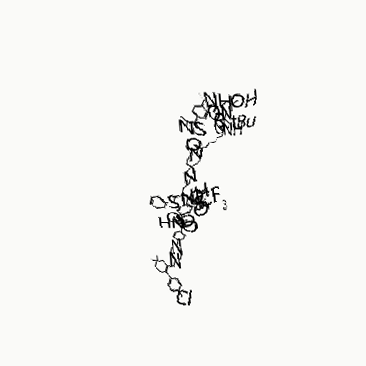 Cc1ncsc1-c1ccc([C@H](C)NC(=O)[C@@H]2C[C@@H](O)CN2C(=O)[C@@H](NC(=O)CCCCCC(=O)N2CCC3(CC2)CN(CC[C@H](CSc2ccccc2)Nc2ccc(S(=O)(=O)NC(=O)c4ccc(N5CCN(CC6=C(c7ccc(Cl)cc7)CCC(C)(C)C6)CC5)cc4)cc2S(=O)(=O)C(F)(F)F)C3)C(C)(C)C)cc1